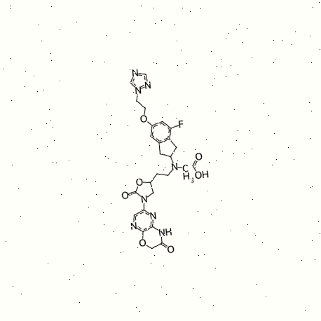 CN(CCC1CN(c2cnc3c(n2)NC(=O)CO3)C(=O)O1)C1Cc2cc(OCCn3cncn3)cc(F)c2C1.O=CO